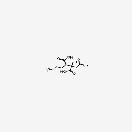 NCCCC(C(=O)O)C(O)(CC(=O)O)C(=O)O